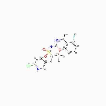 C[C@H](NC1=NS(=O)(=O)C(Cc2ccc(Cl)nc2)C(C)(C)O1)c1ccccc1F